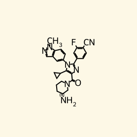 Cn1ncc2cc(-n3c(-c4ccc(C#N)c(F)c4)nc(C(=O)N4CCC[C@@H](N)C4)c3C3CC3)ccc21